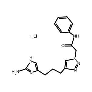 Cl.Nc1nc(CCCc2cn(CC(=O)Nc3ccccc3)nn2)c[nH]1